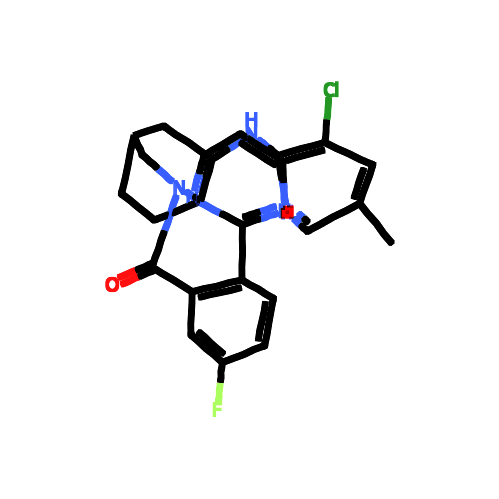 Cc1cnc(NC2CC3CCC2N(C(=O)c2cc(F)ccc2-c2ncccn2)C3)c(Cl)c1